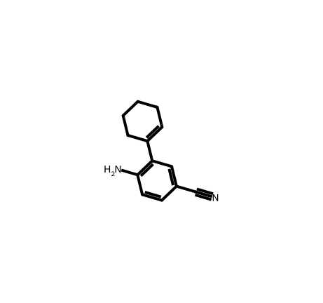 N#Cc1ccc(N)c(C2=CCCCC2)c1